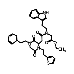 CCOC(=O)CN(CCc1c[nH]c2ccccc12)C(=O)CC1C(=O)N(CCc2ccccc2)CC(=O)N1CCc1cccs1